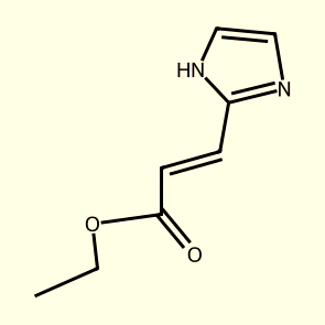 CCOC(=O)C=Cc1ncc[nH]1